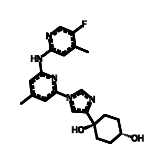 Cc1cc(Nc2cc(C)c(F)cn2)nc(-n2cnc([C@]3(O)CC[C@H](O)CC3)c2)c1